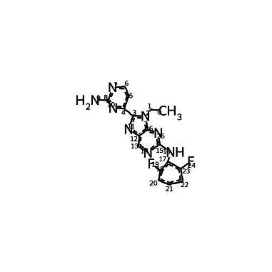 CCn1c(-c2ccnc(N)n2)nc2cnc(Nc3c(F)cccc3F)nc21